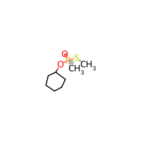 CS[P@@](C)(=O)OC1CCCCC1